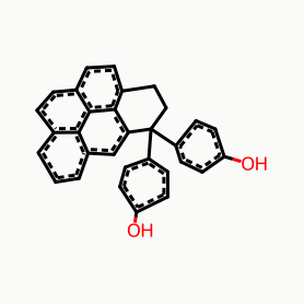 Oc1ccc(C2(c3ccc(O)cc3)CCc3ccc4ccc5cccc6cc2c3c4c56)cc1